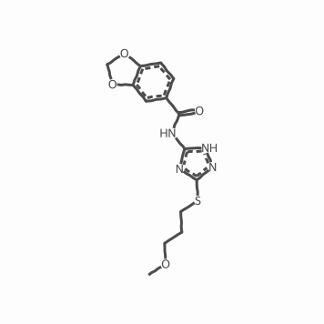 COCCCSc1n[nH]c(NC(=O)c2ccc3c(c2)OCO3)n1